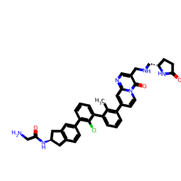 Cc1c(-c2ccn3c(=O)c(CNC[C@@H]4CCC(=O)N4)cnc3c2)cccc1-c1cccc(-c2ccc3c(c2)C[C@H](NC(=O)CN)C3)c1Cl